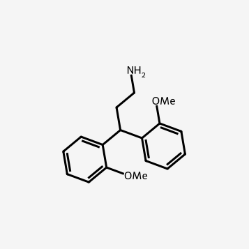 COc1ccccc1C(CCN)c1ccccc1OC